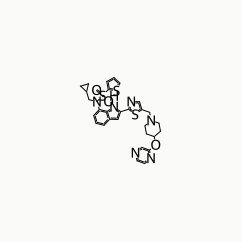 O=S(=O)(c1cccs1)N(CC1CC1)c1cccc2cc(-c3ncc(CN4CCC(Oc5cnccn5)CC4)s3)[nH]c12